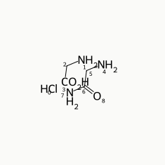 Cl.NCC(=O)O.NCC(N)=O